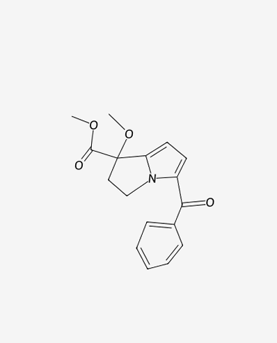 COC(=O)C1(OC)CCn2c(C(=O)c3ccccc3)ccc21